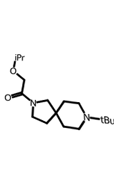 CC(C)OCC(=O)N1CCC2(CCN(C(C)(C)C)CC2)C1